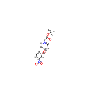 CC(C)(C)OC(=O)CN1CCC(Oc2cccc([N+](=O)[O-])c2)CC1